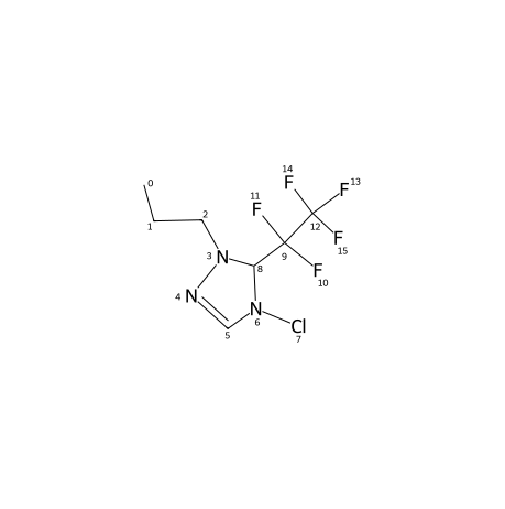 CCCN1N=CN(Cl)C1C(F)(F)C(F)(F)F